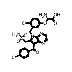 N[C@H](Oc1ccc(Cl)c(Cn2c(CS(N)(=O)=O)c(C(=O)c3ccc(Cl)cc3)c3nccnc32)c1)C(=O)O